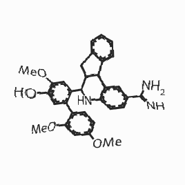 COc1ccc(-c2cc(O)c(OC)cc2C2Nc3ccc(C(=N)N)cc3C3c4ccccc4CC23)c(OC)c1